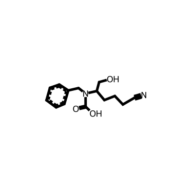 N#CCCCC(CO)N(Cc1ccccc1)C(=O)O